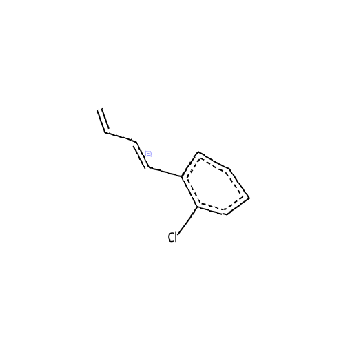 C=C/C=C/c1ccccc1Cl